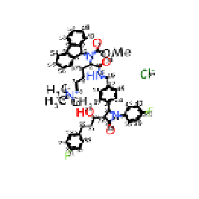 COC(=O)N(C(CCCC[N+](C)(C)C)C(=O)NCc1ccc(C2C(C(O)CCc3ccc(F)cc3)C(=O)N2c2ccc(F)cc2)cc1)C1c2ccccc2-c2ccccc21.[Cl-]